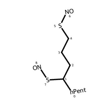 CCCCCC(CCCSN=O)SN=O